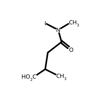 CC(CC(=O)N(C)I)C(=O)O